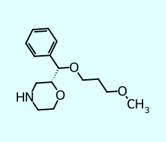 COCCCOC(c1ccccc1)[C@H]1CNCCO1